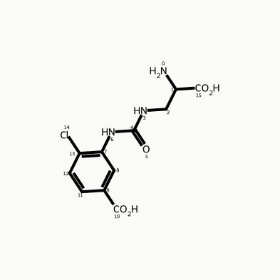 NC(CNC(=O)Nc1cc(C(=O)O)ccc1Cl)C(=O)O